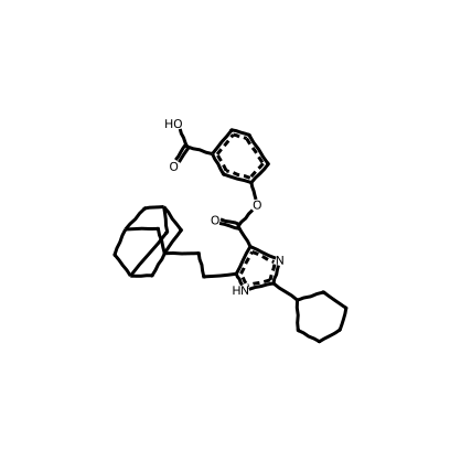 O=C(O)c1cccc(OC(=O)c2nc(C3CCCCC3)[nH]c2CCC23CC4CC(CC(C4)C2)C3)c1